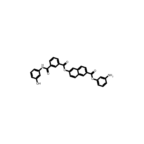 Nc1cccc(OC(=O)c2ccc3cc(OC(=O)c4cccc(C(=O)Nc5cccc(O)c5)c4)ccc3c2)c1